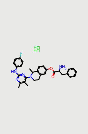 Cc1nc(Nc2ccc(F)cc2)nc(N2CCc3cc(OC(=O)C(N)Cc4ccccc4)ccc3C2C)c1C.Cl.Cl